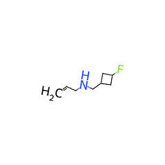 C=CCNCC1CC(F)C1